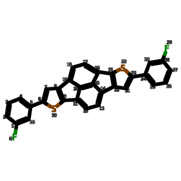 Fc1cccc(-c2cc3c(s2)-c2ccc4c5c(ccc-3c25)-c2sc(-c3cccc(F)c3)cc2-4)c1